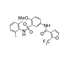 COc1ccc(NC(=O)c2ccoc2C(F)(F)F)cc1S(=O)(=O)Nc1c(C)cccc1C